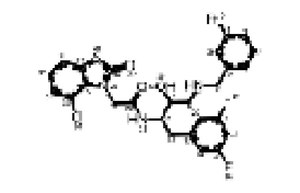 CCc1cccc(CNCC(O)C(Cc2cc(F)cc(F)c2)NC(=O)Cn2c(=O)sc3cccc(Cl)c32)c1